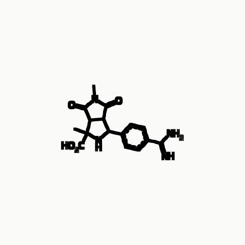 CN1C(=O)C2C(c3ccc(C(=N)N)cc3)NC(C)(C(=O)O)C2C1=O